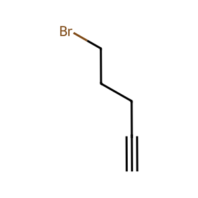 C#CCCCBr